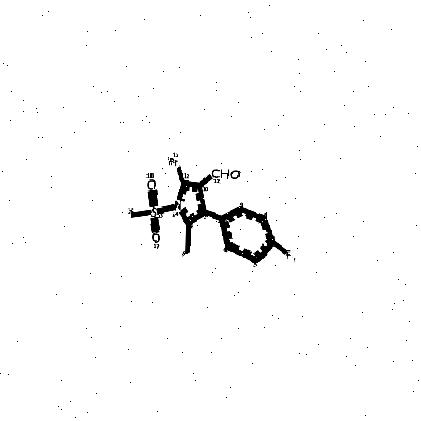 Cc1c(-c2ccc(F)cc2)c(C=O)c(C(C)C)n1S(C)(=O)=O